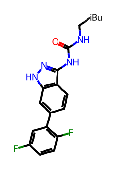 CCC(C)CNC(=O)Nc1n[nH]c2cc(-c3cc(F)ccc3F)ccc12